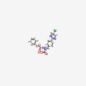 O=C(N[C@@H](Cc1ccc(-c2ncc(Br)cn2)cc1)C(=O)O)OCC1=CC=CCC1